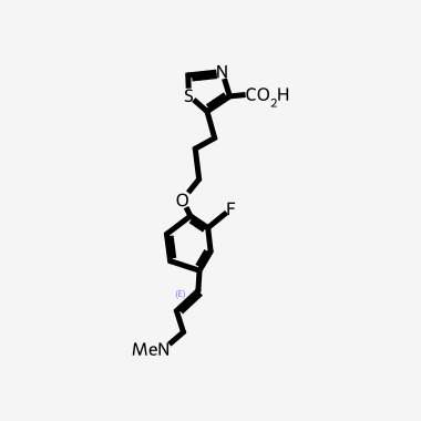 CNC/C=C/c1ccc(OCCCc2scnc2C(=O)O)c(F)c1